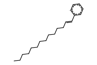 CCCCCCCCCCCCC=Cc1[c]cccc1